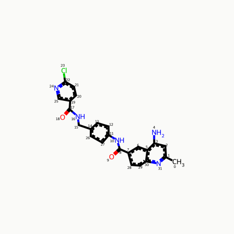 Cc1cc(N)c2cc(C(=O)Nc3ccc(CNC(=O)c4ccc(Cl)nc4)cc3)ccc2n1